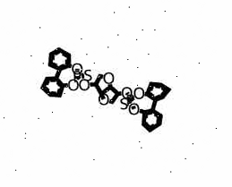 S=P1(OC2COC3C(OP4(=S)Oc5ccccc5-c5ccccc5O4)COC23)Oc2ccccc2-c2ccccc2O1